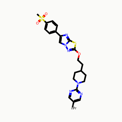 CCCc1cnc(N2CCC(CCOc3nn4cc(-c5ccc(S(C)(=O)=O)cc5)nc4s3)CC2)nc1